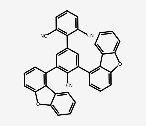 N#Cc1cccc(C#N)c1-c1cc(-c2cccc3oc4ccccc4c23)c(C#N)c(-c2cccc3oc4ccccc4c23)c1